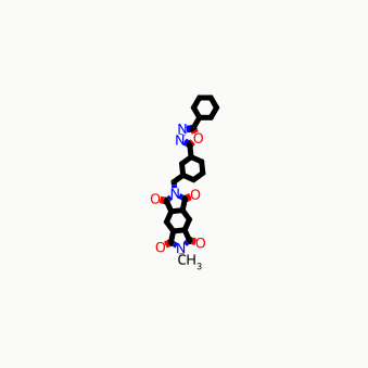 CN1C(=O)C2CC3C(=O)N(CC4CCCC(c5nnc(C6CCCCC6)o5)C4)C(=O)C3CC2C1=O